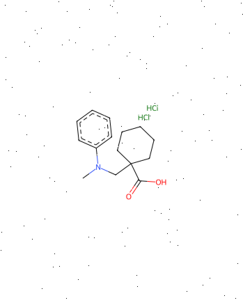 CN(CC1(C(=O)O)CCCCC1)c1ccccc1.Cl.Cl